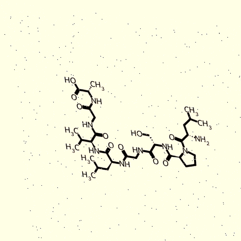 CC(C)C[C@H](NC(=O)CNC(=O)[C@H](CO)NC(=O)[C@@H]1CCCN1C(=O)[C@@H](N)CC(C)C)C(=O)N[C@H](C(=O)NCC(=O)N[C@@H](C)C(=O)O)C(C)C